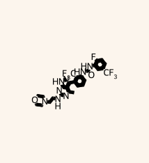 Cc1nc(NCCN2CCOCC2)nc2[nH]nc(-c3cccc(NC(=O)Nc4cc(C(F)(F)F)ccc4F)c3C(F)(F)F)c12